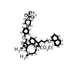 CCOC(=O)c1c(CCCOc2cccc3ccccc23)c2cccc3c2n1CCCN(C)Cc1c-3c(COc2ccc(N3CCN(S(C)(=O)=O)CC3)cc2)nn1C